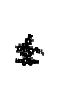 COc1cccc(N(c2ccc(Br)cc2)C(C)(C)N2CCCC2)c1.O=C(O)CC(O)(CC(=O)O)C(=O)O